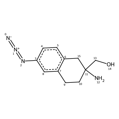 [N-]=[N+]=Nc1ccc2c(c1)CCC(N)(CO)C2